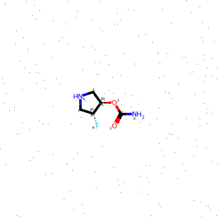 NC(=O)O[C@@H]1CNC[C@H]1F